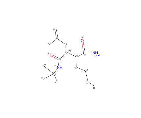 C=C(C)C[C@@H](C(=O)NC(C)(C)C)C(CCCC)C(N)=O